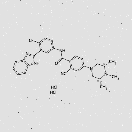 C[C@@H]1CN(c2ccc(C(=O)Nc3ccc(Cl)c(-c4nc5ccccc5[nH]4)c3)c(C#N)c2)C[C@H](C)N1C.Cl.Cl